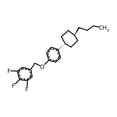 CCCC[C@H]1CC[C@H](c2ccc(OCc3cc(F)c(F)c(F)c3)cc2)CC1